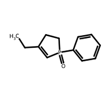 CCC1=CP(=O)(c2ccccc2)CC1